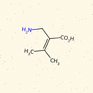 CC(C)=C(CN)C(=O)O